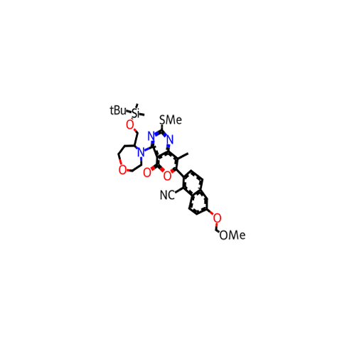 COCOc1ccc2c(C#N)c(-c3oc(=O)c4c(N5CCOCCC5CO[Si](C)(C)C(C)(C)C)nc(SC)nc4c3C)ccc2c1